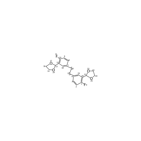 Fc1ccc(SSc2ccc(F)c(C3OCCO3)c2)cc1C1OCCO1